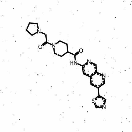 O=C(Nc1cc2cc(-c3cncs3)cnc2cn1)C1CCN(C(=O)CN2CCCC2)CC1